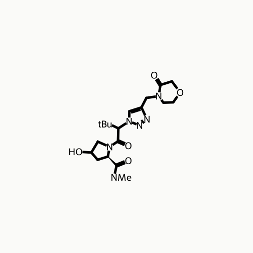 CNC(=O)[C@H]1CC(O)CN1C(=O)C(n1cc(CN2CCOCC2=O)nn1)C(C)(C)C